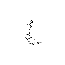 COc1ccc2c(c1)C(=CCNC(=O)C(F)(F)F)C(C)(C)C2